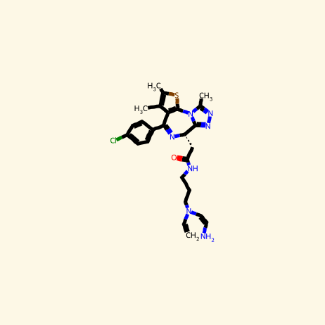 C=CN(/C=C\N)CCCNC(=O)C[C@@H]1N=C(c2ccc(Cl)cc2)c2c(sc(C)c2C)-n2c(C)nnc21